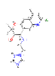 Cc1cc(Cl)nc2cc3c(cc12)OC(C)(C)C(O)C3NCCn1cncn1